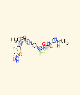 CC1(C)CN(c2cc(F)c([C@H]3CCC(=O)NC3=O)c(F)c2)C[C@@H]1C(=O)N1CCN(C2CCC(n3cc(NC(=O)c4coc(-c5ccnc(NCC(F)(F)F)c5)n4)c(C(F)F)n3)CC2)CC1